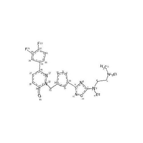 CCN(C)CCN(CC)c1nc(-c2cccc(Cn3nc(-c4ccc(F)c(F)c4)ccc3=O)c2)no1